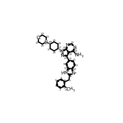 Cc1ccccc1Cc1nc2ccc(-c3nn([C@H]4CC[C@H](N5CCOCC5)CC4)c4ncnc(N)c34)cc2[nH]1